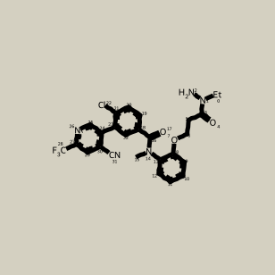 CCN(N)C(=O)CCOc1ccccc1N(C)C(=O)c1ccc(Cl)c(-c2cnc(C(F)(F)F)cc2C#N)c1